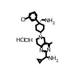 Cc1nc(C(N)C2CC2)nc2c1CN([C@H]1CC[C@](CN)(c3cccc(Cl)c3)CC1)CC2.Cl.Cl